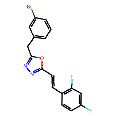 Fc1ccc(/C=C/c2nnc(Cc3cccc(Br)c3)o2)c(F)c1